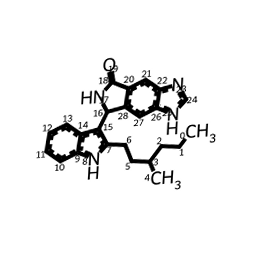 CCCC(C)CCc1[nH]c2ccccc2c1C1NC(=O)c2cc3nc[nH]c3cc21